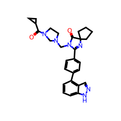 O=C(C1CC1)N1CCN(CN2C(=O)C3(CCCC3)N=C2c2ccc(-c3cccc4[nH]ncc34)cc2)C1